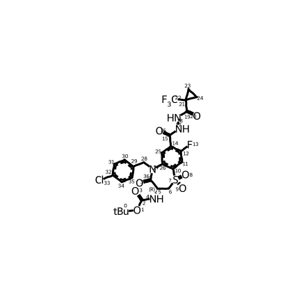 CC(C)(C)OC(=O)N[C@H]1CS(=O)(=O)c2cc(F)c(C(=O)NNC(=O)C3(C(F)(F)F)CC3)cc2N(Cc2ccc(Cl)cc2)C1=O